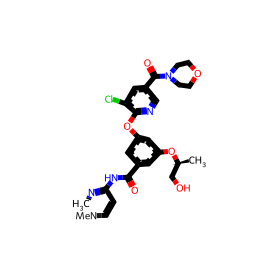 C/N=C(\C=C/NC)NC(=O)c1cc(Oc2ncc(C(=O)N3CCOCC3)cc2Cl)cc(O[C@@H](C)CO)c1